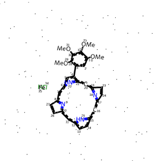 COc1cc(-c2cc3cc4nc(cc5ccc(cc6nc(cc2[nH]3)C=C6)[nH]5)C=C4)c(OC)c(OC)c1OC.Cl.[Fe]